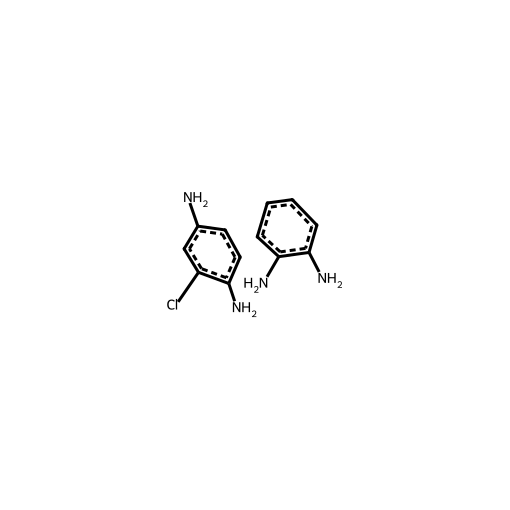 Nc1ccc(N)c(Cl)c1.Nc1ccccc1N